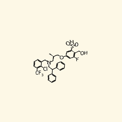 C[C@@H](COc1cc(F)c(CO)c([SH](=O)=O)c1)CN(Cc1cccc(C(F)(F)F)c1Cl)CC(c1ccccc1)c1ccccc1